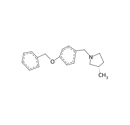 C[C@H]1CCN(Cc2ccc(OCc3ccccc3)cc2)C1